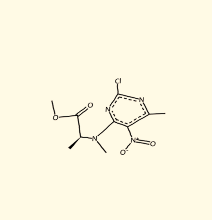 COC(=O)[C@H](C)N(C)c1nc(Cl)nc(C)c1[N+](=O)[O-]